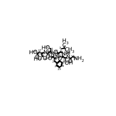 CC(C)C[C@H](NC(=O)[C@H](CO)NC(=O)CN)C(=O)N[C@@H](Cc1ccccc1)C(=O)N[C@@H](CO)C(=O)N[C@@H](CC(=O)O)C(=O)O